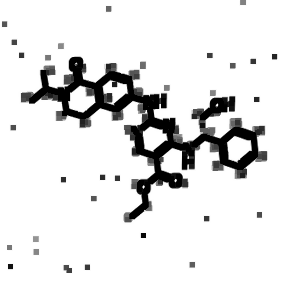 CCOC(=O)c1cnc(Nc2ccc3c(c2)CCN(C(C)C)C3=O)nc1N[C@H](CO)c1ccccc1